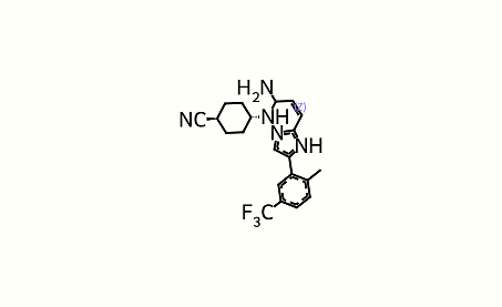 Cc1ccc(C(F)(F)F)cc1-c1cnc(/C=C\C(N)N[C@H]2CC[C@H](C#N)CC2)[nH]1